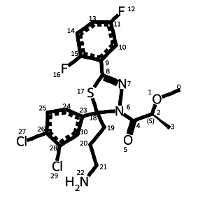 CO[C@@H](C)C(=O)N1N=C(c2cc(F)ccc2F)SC1(CCCN)c1ccc(Cl)c(Cl)c1